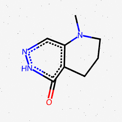 CN1CCCc2c1cn[nH]c2=O